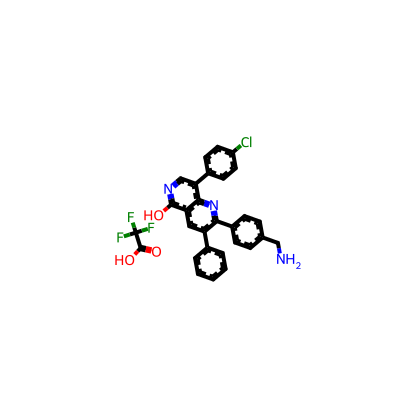 NCc1ccc(-c2nc3c(-c4ccc(Cl)cc4)cnc(O)c3cc2-c2ccccc2)cc1.O=C(O)C(F)(F)F